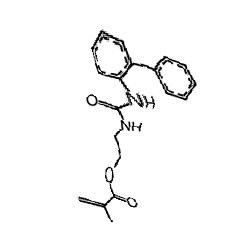 C=C(C)C(=O)OCCNC(=O)Nc1ccccc1-c1ccccc1